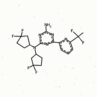 CC(F)(F)c1cccc(-c2nc(N)nc(N(C3CCC(F)(F)C3)C3CCC(F)(F)C3)n2)n1